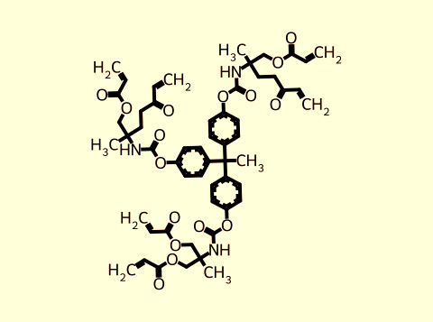 C=CC(=O)CCC(C)(COC(=O)C=C)NC(=O)Oc1ccc(C(C)(c2ccc(OC(=O)NC(C)(CCC(=O)C=C)COC(=O)C=C)cc2)c2ccc(OC(=O)NC(C)(COC(=O)C=C)COC(=O)C=C)cc2)cc1